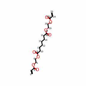 C=CC(=O)OCCOC(=O)CCCCCCC(=O)OCCOC(=O)C=C